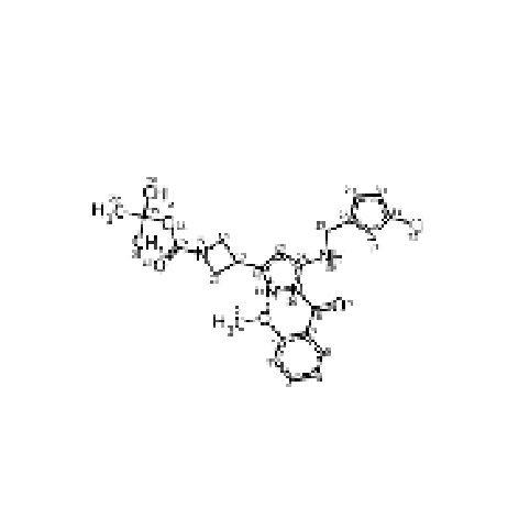 COc1ccccc1C(=O)n1nc(C2CN(C(=O)OC(C)(C)C)C2)cc1NCc1ccc(Cl)s1